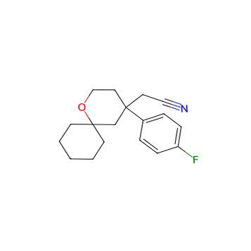 N#CCC1(c2ccc(F)cc2)CCOC2(CCCCC2)C1